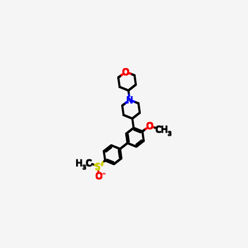 COc1ccc(-c2ccc([S+](C)[O-])cc2)cc1C1CCN(C2CCOCC2)CC1